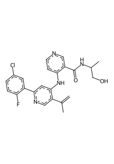 C=C(C)c1cnc(-c2cc(Cl)ccc2F)cc1Nc1ccncc1C(=O)NC(C)CO